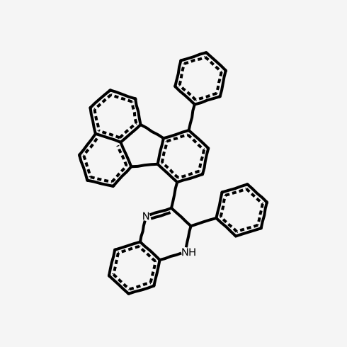 c1ccc(-c2ccc(C3=Nc4ccccc4NC3c3ccccc3)c3c2-c2cccc4cccc-3c24)cc1